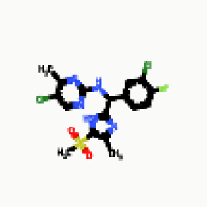 Cc1nc(NC(c2ccc(F)c(Cl)c2)c2nc(C)c(S(C)(=O)=O)[nH]2)ncc1Cl